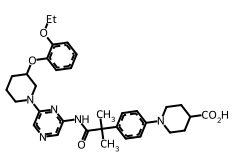 CCOc1ccccc1OC1CCCN(c2cncc(NC(=O)C(C)(C)c3ccc(N4CCC(C(=O)O)CC4)cc3)n2)C1